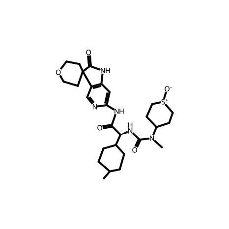 CC1CCC([C@H](NC(=O)N(C)C2CC[S+]([O-])CC2)C(=O)Nc2cc3c(cn2)C2(CCOCC2)C(=O)N3)CC1